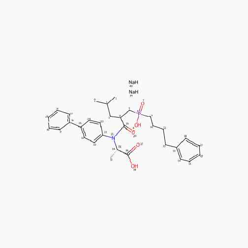 CC(C)CC(CP(=O)(O)CCCCc1ccccc1)C(=O)N(c1ccc(-c2ccccc2)cc1)[C@@H](C)C(=O)O.[NaH].[NaH]